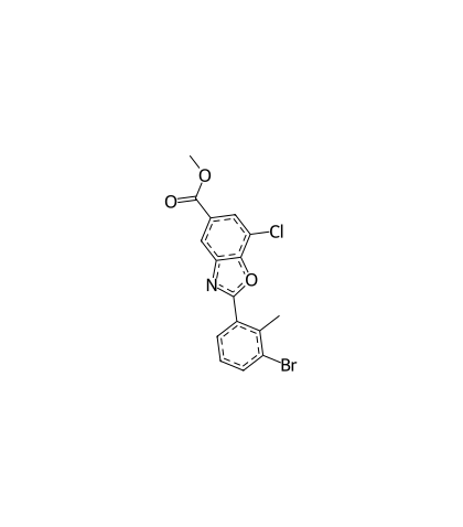 COC(=O)c1cc(Cl)c2oc(-c3cccc(Br)c3C)nc2c1